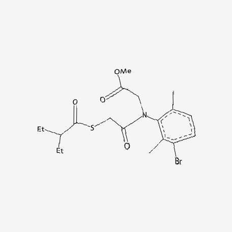 CCC(CC)C(=O)SCC(=O)N(CC(=O)OC)c1c(C)ccc(Br)c1C